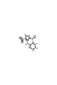 O=Cc1ccc([N+](=O)[O-])n1Cc1ccccc1